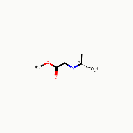 C[C@@H](NCC(=O)OC(C)(C)C)C(=O)O